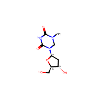 CCCN1CN([C@H]2C[C@H](O)[C@@H](CO)O2)C(=O)NC1=O